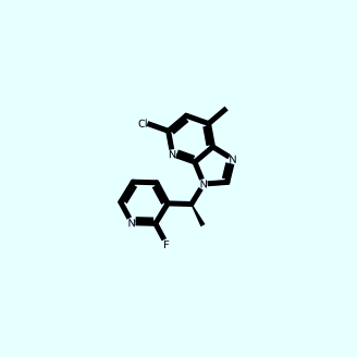 Cc1cc(Cl)nc2c1ncn2[C@@H](C)c1cccnc1F